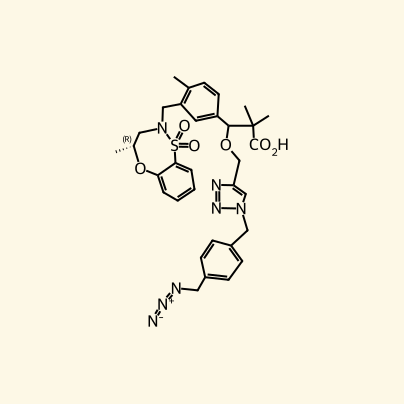 Cc1ccc(C(OCc2cn(Cc3ccc(CN=[N+]=[N-])cc3)nn2)C(C)(C)C(=O)O)cc1CN1C[C@@H](C)Oc2ccccc2S1(=O)=O